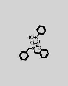 O=S(=O)(OB(O)c1ccccc1)N(Cc1ccccc1)Cc1ccccc1